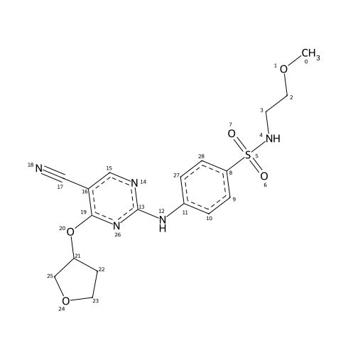 COCCNS(=O)(=O)c1ccc(Nc2ncc(C#N)c(OC3CCOC3)n2)cc1